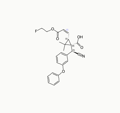 CC1(C)[C@H](/C=C\C(=O)OCCF)[C@@]1(C(=O)O)[C@@H](C#N)c1cccc(Oc2ccccc2)c1